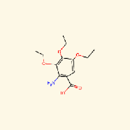 CCOc1cc(C(=O)O)c(N)c(OCC)c1OCC